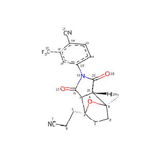 C[C@]12CC[C@](CCC#N)(O1)C1C(=O)N(c3ccc(C#N)c(C(F)(F)F)c3)C(=O)[C@@H]12